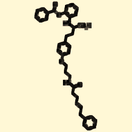 O=C(CCC=CCc1ccccc1)NCCCOc1ccc(CCC(Nc2ccccc2OC(=O)c2ccccc2)C(=O)O)cc1